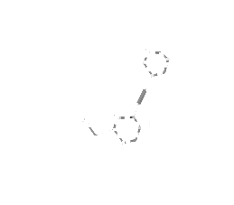 Cl.ON=Cc1nc(C#Cc2cccnc2)ccc1F